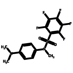 CN(C)c1ccc(N(C)S(=O)(=O)c2c(F)c(F)c(F)c(F)c2F)cc1